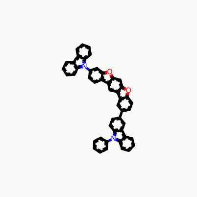 c1ccc(-n2c3ccccc3c3cc(-c4ccc5oc6cc7oc8cc(-n9c%10ccccc%10c%10ccccc%109)ccc8c7cc6c5c4)ccc32)cc1